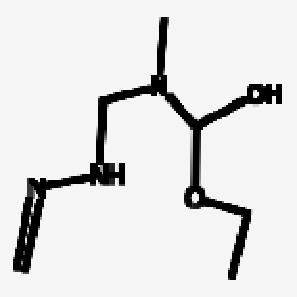 C=NNCN(C)C(O)OCC